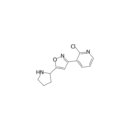 Clc1ncccc1-c1cc(C2CCCN2)on1